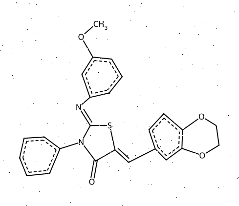 COc1cccc(/N=C2\S/C(=C\c3ccc4c(c3)OCCO4)C(=O)N2c2ccccc2)c1